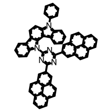 c1ccc(-n2c3ccccc3c3c2ccc2c4ccccc4n(-c4nc(-c5cc6ccc7cccc8ccc(c5)c6c78)nc(-c5cc6ccc7cccc8ccc(c5)c6c78)n4)c23)cc1